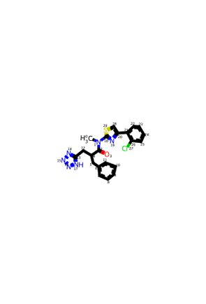 CN(C(=O)C(Cc1ccccc1)Cc1nnn[nH]1)c1nc(-c2ccccc2Cl)cs1